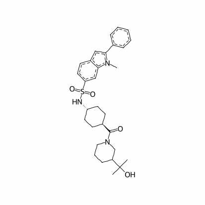 Cn1c(-c2ccccc2)cc2ccc(S(=O)(=O)N[C@H]3CC[C@H](C(=O)N4CCCC(C(C)(C)O)C4)CC3)cc21